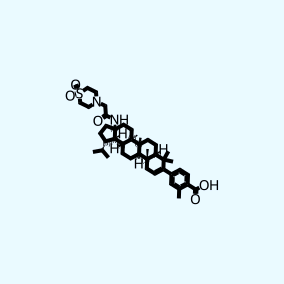 Cc1cc(C2=CC[C@]3(C)[C@H]4CC[C@@H]5[C@H]6[C@H](C(C)C)CC[C@]6(NC(=O)CN6CCS(=O)(=O)CC6)CC[C@@]5(C)[C@]4(C)CC[C@H]3C2(C)C)ccc1C(=O)O